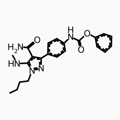 CCCCn1nc(-c2ccc(NC(=O)Oc3ccccc3)cc2)c(C(N)=O)c1NC